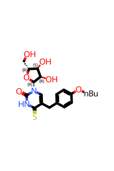 CCCCOc1ccc(Cc2cn([C@@H]3O[C@H](CO)[C@@H](O)[C@H]3O)c(=O)[nH]c2=S)cc1